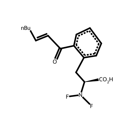 CCCCC=CC(=O)c1ccccc1C[C@@H](C(=O)O)N(F)F